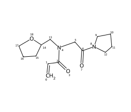 C=CC(=O)N(CC(=O)N1CCCC1)CC1CCCO1